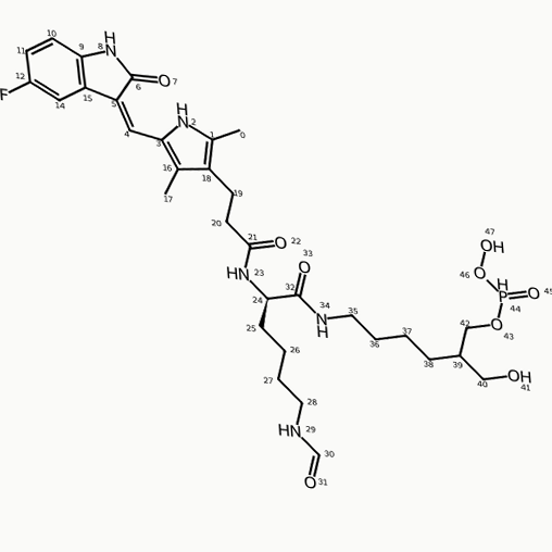 Cc1[nH]c(/C=C2\C(=O)Nc3ccc(F)cc32)c(C)c1CCC(=O)N[C@H](CCCCNC=O)C(=O)NCCCCC(CO)CO[PH](=O)OO